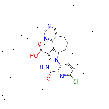 Cc1cc(-n2cc(C(=O)O)c3c2CCCc2cncnc2-3)c(C(N)=O)nc1Cl